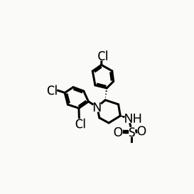 CS(=O)(=O)N[C@H]1CCN(c2ccc(Cl)cc2Cl)[C@H](c2ccc(Cl)cc2)C1